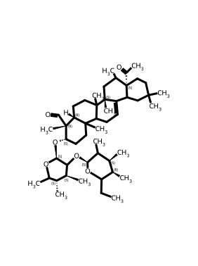 CCC1O[C@@H](OC2[C@H](O[C@H]3CCC4(C)C5CC=C6C7CC(C)(C)CC[C@]7(C(C)=O)C(C)C[C@@]6(C)C5(C)CC[C@H]4[C@@]3(C)C=O)OC(C)[C@@H](C)[C@@H]2C)C(C)[C@@H](C)[C@H]1C